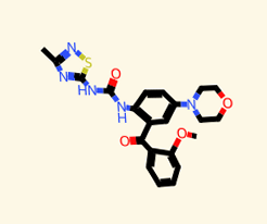 COc1ccccc1C(=O)c1cc(N2CCOCC2)ccc1NC(=O)Nc1nc(C)ns1